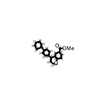 COC(=O)c1ccc2c(c1)C(c1ccc(-c3ccccc3)cc1)=CCO2